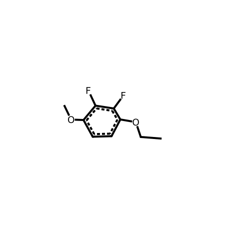 CCOc1ccc(OC)c(F)c1F